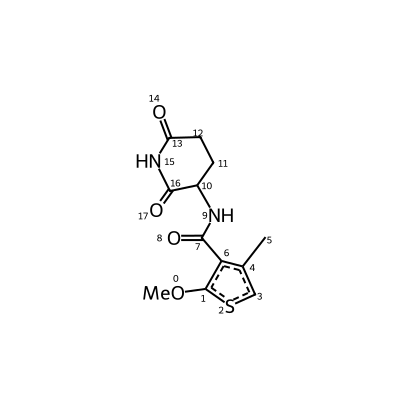 COc1scc(C)c1C(=O)NC1CCC(=O)NC1=O